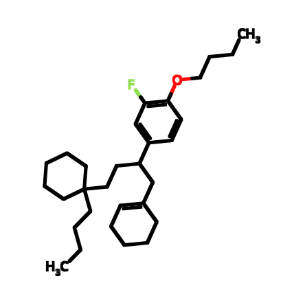 CCCCOc1ccc(C(CCC2(CCCC)CCCCC2)CC2=CCCCC2)cc1F